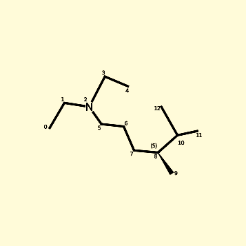 CCN(CC)CCC[C@H](C)C(C)C